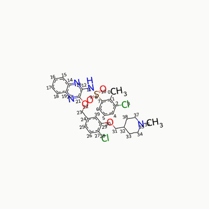 Cc1c(Cl)cccc1S(=O)(=O)Nc1nc2ccccc2nc1OCc1ccc(Cl)c(OCC2CCN(C)CC2)c1